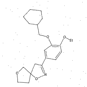 CCOc1ccc(C2=NOC3(CCOC3)C2)cc1OCC1CCCCC1